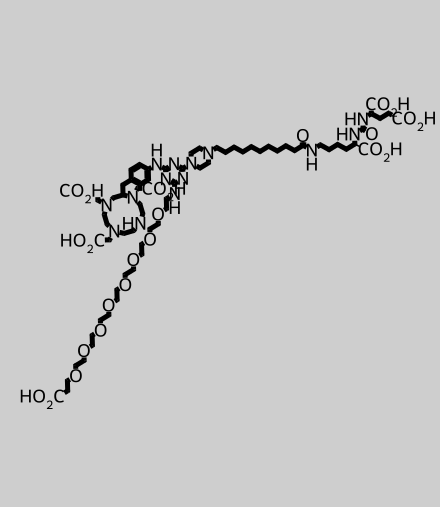 O=C(O)CCOCCOCCOCCOCCOCCOCCOCCOCCNc1nc(Nc2ccc(CC3CN(CC(=O)O)CCN(CC(=O)O)CCNCCN3CC(=O)O)cc2)nc(N2CCN(CCCCCCCCCCC(=O)NCCCC[C@H](NC(=O)NC(CCC(=O)O)C(=O)O)C(=O)O)CC2)n1